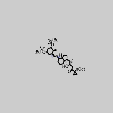 C=C1/C(=C\C=C2/CCC[C@]3(C)[C@@H]([C@H](C)C(O)CC(=O)C4(CCCCCCCC)CC4)CC[C@@H]23)C[C@@H](O[Si](C)(C)C(C)(C)C)C[C@@H]1O[Si](C)(C)C(C)(C)C